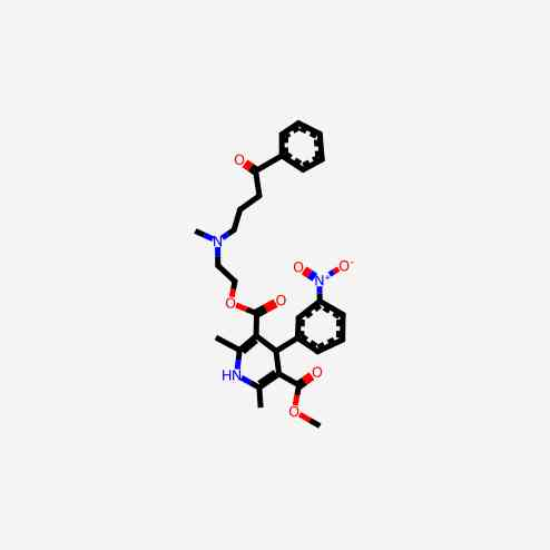 COC(=O)C1=C(C)NC(C)=C(C(=O)OCCN(C)CCCC(=O)c2ccccc2)C1c1cccc([N+](=O)[O-])c1